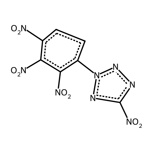 O=[N+]([O-])c1nnn(-c2ccc([N+](=O)[O-])c([N+](=O)[O-])c2[N+](=O)[O-])n1